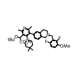 COc1ccc(F)c(CN2CCc3cc(-c4c(C)nc(C)c(C(OC(C)(C)C)C(=O)O)c4N4CCC(C)(C)CC4)ccc3C2)c1F